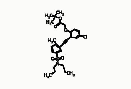 CCCN(CCC)S(=O)(=O)c1ccc(C)c(C#Cc2cc(Cl)ccc2OCC(=O)OC(C)(C)C)c1